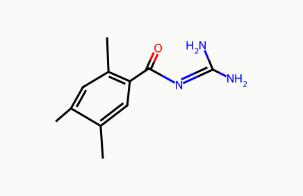 Cc1cc(C)c(C(=O)N=C(N)N)cc1C